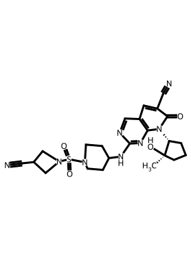 C[C@@]1(O)CCC[C@H]1n1c(=O)c(C#N)cc2cnc(NC3CCN(S(=O)(=O)N4CC(C#N)C4)CC3)nc21